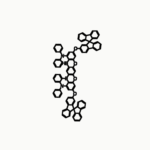 B1c2cc3c(cc2Oc2cc(Oc4ccc5c(c4)C4(c6ccccc6-c6ccccc64)c4ccccc4-5)cc(N(c4ccccc4)c4ccccc4)c21)Oc1cc(Oc2ccc4c(c2)C2(c5ccccc5-c5ccccc52)c2ccccc2-4)cc2c1B3c1ccccc1N2c1ccccc1